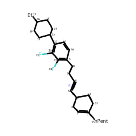 CCCCCC1=CCC(/C=C/CCc2ccc(C3CCC(CC)CC3)c(F)c2F)CC1